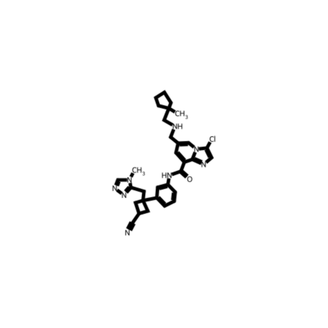 Cn1cnnc1CC1(c2cccc(NC(=O)c3cc(CNCC4(C)CCCC4)cn4c(Cl)cnc34)c2)CC(C#N)C1